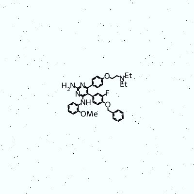 CCN(CC)CCOc1ccc(-c2nc(N)nc(Nc3ccccc3OC)c2-c2ccc(OCc3ccccc3)c(F)c2)cc1